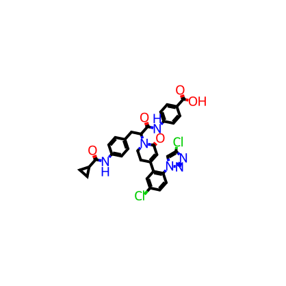 O=C(O)c1ccc(NC(=O)C(Cc2ccc(NC(=O)C3CC3)cc2)N2CCC(c3cc(Cl)ccc3-n3cc(Cl)nn3)=CC2=O)cc1